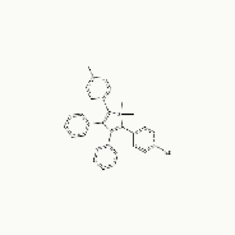 CCc1ccc(C2=C(c3ccccc3)C(c3ccccc3)=C(c3ccc(C)cc3)[Si]2(C)C)cc1